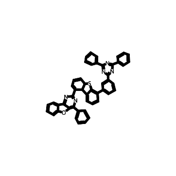 C1=CC2Sc3c(-c4cccc(-c5nc(-c6ccccc6)nc(-c6ccccc6)n5)c4)cccc3C2C(c2nc(-c3ccccc3)c3oc4ccccc4c3n2)=C1